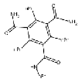 CCCNC(=O)c1c(CCC)c(C(N)=O)c(CCC)c(C(N)=O)c1CCC